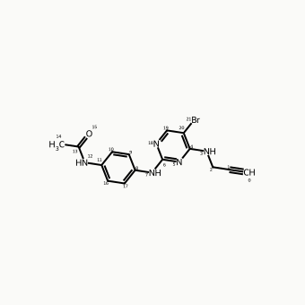 C#CCNc1nc(Nc2ccc(NC(C)=O)cc2)ncc1Br